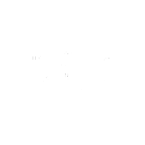 CC1SCN(c2cccc(C(F)(F)F)c2)C1=O